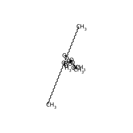 CCCCCCCCCCCCCCCCCCCCCCCCC(=O)O[C@H](COC(=O)CCCCCCCCCCCCCCCCCC)COP(=O)(O)OCC[N+](C)(C)C